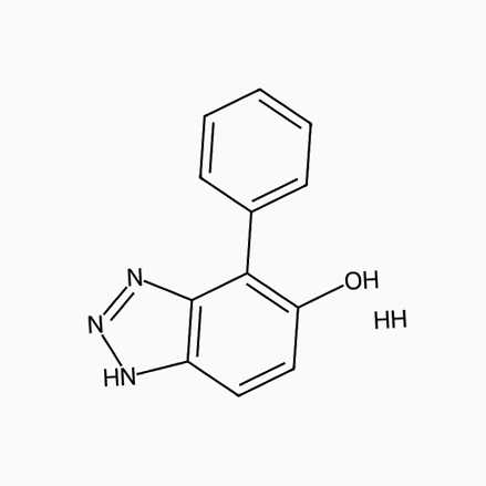 Oc1ccc2[nH]nnc2c1-c1ccccc1.[HH]